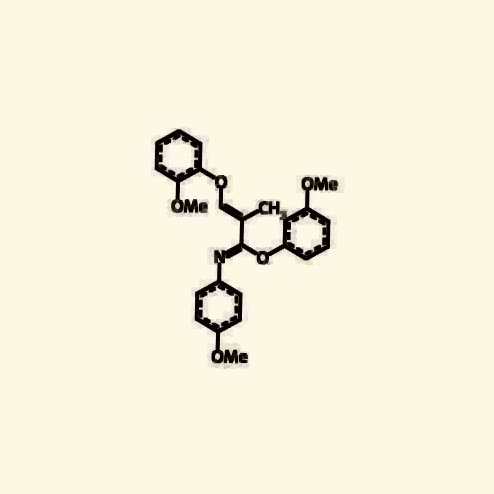 COc1ccc(N=C(Oc2cccc(OC)c2)C(C)=COc2ccccc2OC)cc1